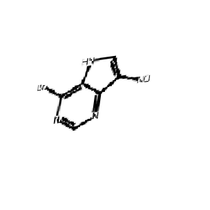 O=Nc1c[nH]c2c(Br)ncnc12